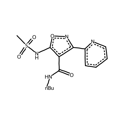 CCCCNC(=O)c1c(-c2ccccn2)noc1NS(C)(=O)=O